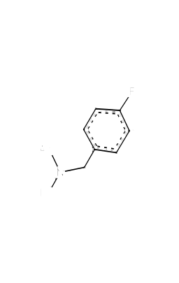 CCN(Cc1ccc(F)cc1)C(C)=O